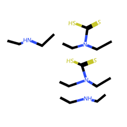 CCN(CC)C(=S)S.CCN(CC)C(=S)S.CCNCC.CCNCC